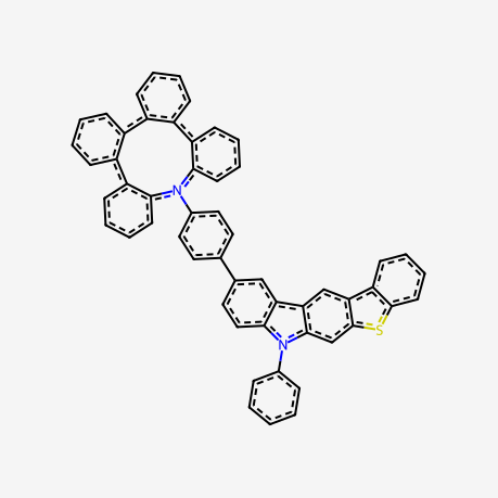 c1ccc(-n2c3ccc(-c4ccc(-n5c6ccccc6c6ccccc6c6ccccc6c6ccccc65)cc4)cc3c3cc4c(cc32)sc2ccccc24)cc1